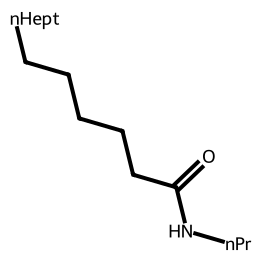 [CH2]CCNC(=O)CCCCCCCCCCCC